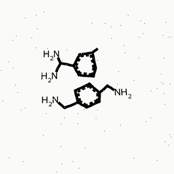 Cc1cccc(C(N)N)c1.NCc1ccc(CN)cc1